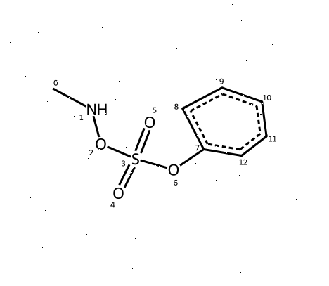 CNOS(=O)(=O)Oc1ccccc1